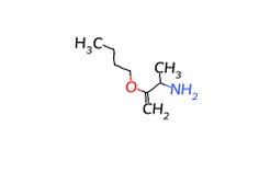 C=C(OCCCC)C(C)N